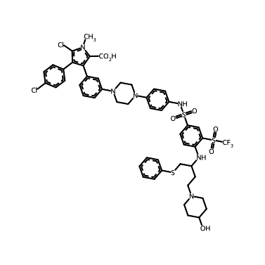 Cn1c(Cl)c(-c2ccc(Cl)cc2)c(-c2cccc(N3CCN(c4ccc(NS(=O)(=O)c5ccc(NC(CCN6CCC(O)CC6)CSc6ccccc6)c(S(=O)(=O)C(F)(F)F)c5)cc4)CC3)c2)c1C(=O)O